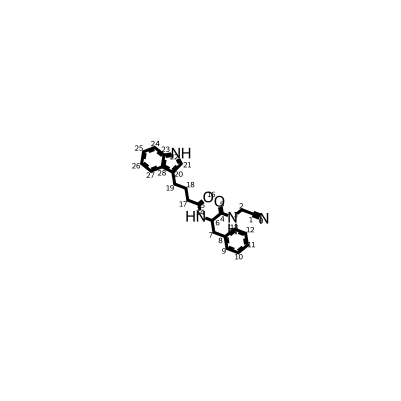 N#CCNC(=O)C(Cc1ccccc1)NC(=O)CCCc1c[nH]c2ccccc12